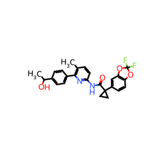 Cc1ccc(NC(=O)C2(c3ccc4c(c3)OC(F)(F)O4)CC2)nc1-c1ccc(C(C)O)cc1